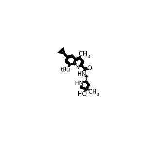 Cc1cc(C(=O)NC[C@@H]2C[C@](C)(O)CN2)nc2c(C(C)(C)C)cc(C3CC3)cc12